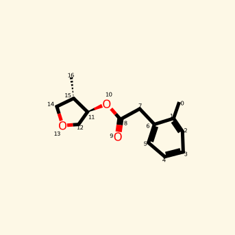 Cc1ccccc1CC(=O)O[C@H]1COC[C@@H]1C